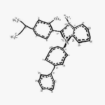 Cc1cc(C(C)C)ccc1-c1n(-c2ccc(-c3ccccc3)cc2)c2ccccc2[n+]1C